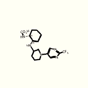 O=C(O)N[C@@H]1CCCC[C@H]1NC1CCCN(c2cnc(C(F)(F)F)nc2)C1